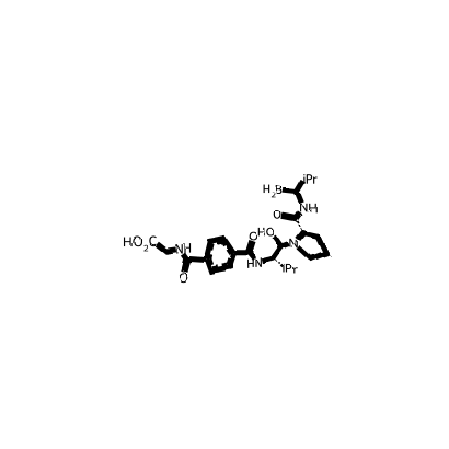 BC(NC(=O)[C@@H]1CCCN1C(O)[C@@H](NC(=O)c1ccc(C(=O)NCC(=O)O)cc1)C(C)C)C(C)C